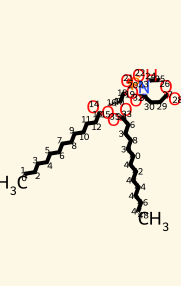 CCCCCCCCCCCCCC(=O)OC[C@H](COP(=O)(O)N1CCOC(=O)CCC1=O)OC(=O)CCCCCCCCCCCCC